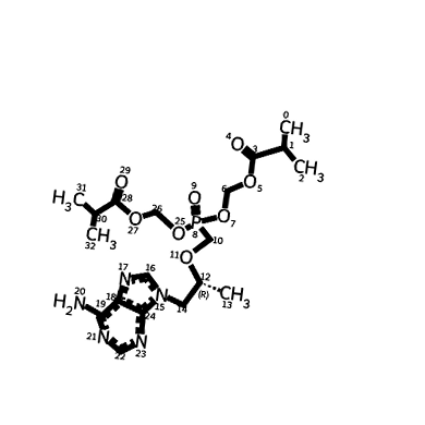 CC(C)C(=O)OCOP(=O)(CO[C@H](C)Cn1cnc2c(N)ncnc21)OCOC(=O)C(C)C